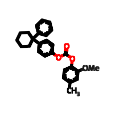 COc1cc(C)ccc1OC(=O)Oc1ccc(C2(c3ccccc3)CCCCC2)cc1